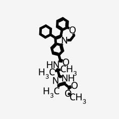 COC(=O)c1[nH]c(C(C)(C)NC(=O)c2ccc3c(C4CCCCC4)c4n(c3c2)CCOc2ccccc2-4)nc1C